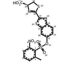 Cc1cccc([N+](=O)[O-])c1S(=O)(=O)Oc1ccc2nc(C3=N[C@@H](C(=O)O)CS3)sc2c1